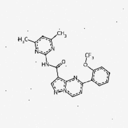 Cc1cc(C)nc(NC(=O)c2cnn3ccc(-c4ccccc4OC(F)(F)F)nc23)n1